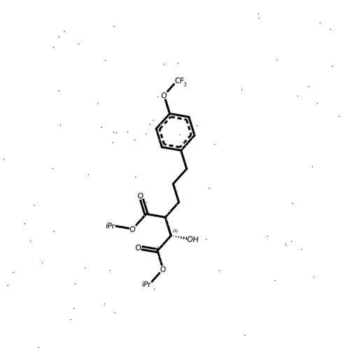 CC(C)OC(=O)C(CCCc1ccc(OC(F)(F)F)cc1)[C@H](O)C(=O)OC(C)C